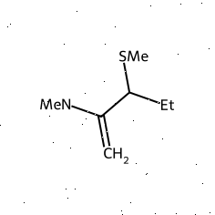 C=C(NC)C(CC)SC